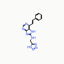 C(=Cc1ncnc2nc(NCc3nnn[nH]3)[nH]c12)c1ccccc1